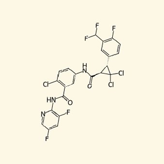 O=C(Nc1ncc(F)cc1F)c1cc(NC(=O)[C@H]2[C@H](c3ccc(F)c(C(F)F)c3)C2(Cl)Cl)ccc1Cl